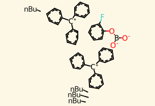 CCCCC.CCCCC.CCCCC.CCCCC.[O-]B([O-])Oc1ccccc1F.c1ccc([C+](c2ccccc2)c2ccccc2)cc1.c1ccc([C+](c2ccccc2)c2ccccc2)cc1